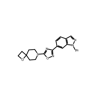 CC(C)n1ncc2ccc(-c3noc(N4CCC5(CCO5)CC4)n3)cc21